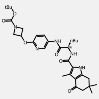 CCCC[C@@H](NC(=O)c1[nH]c2c(c1C)C(=O)CC(C)(C)C2)C(=O)Nc1ccc(OC2CN(C(=O)OC(C)(C)C)C2)nc1